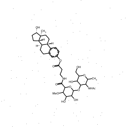 COC1C(C(=O)NCCC(=O)Oc2ccc3c(c2)CC[C@@H]2[C@@H]3CC[C@]3(C)[C@@H](O)CC[C@@H]23)OC(OC2C(O)C(CO)OC(C)C2NC(C)=O)C(O)C1O